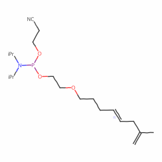 C=C(C)C/C=C/CCCOCCOP(OCCC#N)N(C(C)C)C(C)C